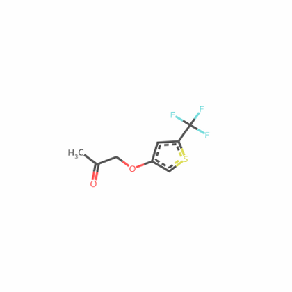 CC(=O)COc1csc(C(F)(F)F)c1